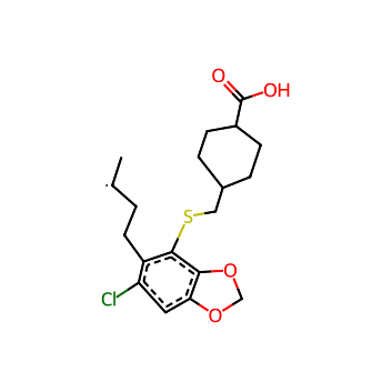 C[CH]CCc1c(Cl)cc2c(c1SCC1CCC(C(=O)O)CC1)OCO2